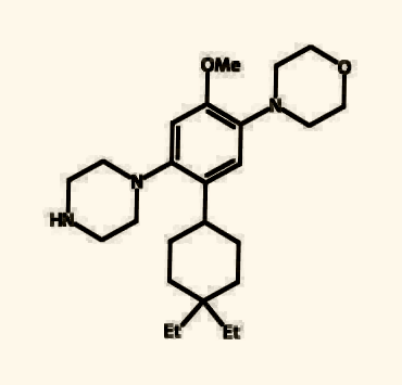 CCC1(CC)CCC(c2cc(N3CCOCC3)c(OC)cc2N2CCNCC2)CC1